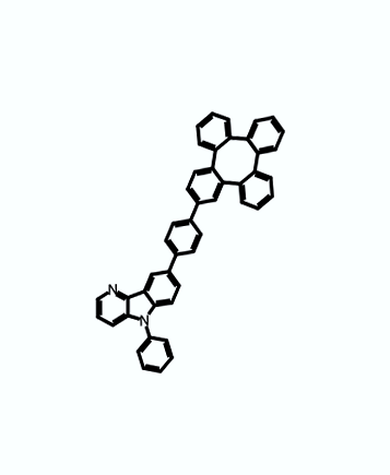 c1ccc(-n2c3ccc(-c4ccc(-c5ccc6c(c5)-c5ccccc5-c5ccccc5-c5ccccc5-6)cc4)cc3c3ncccc32)cc1